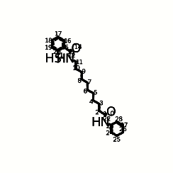 O=C(CCCCCCCCCCNC(=O)c1ccccc1S)NC1=CCCC=C1